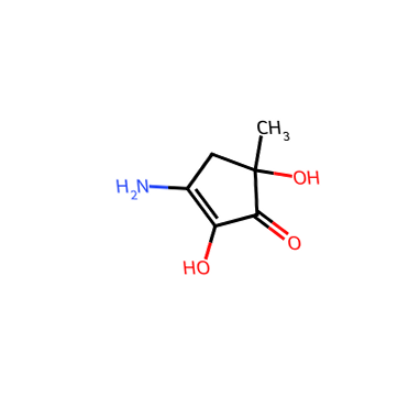 CC1(O)CC(N)=C(O)C1=O